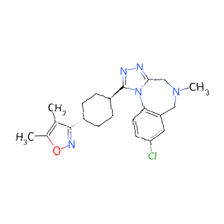 Cc1onc([C@H]2CC[C@H](c3nnc4n3-c3ccc(Cl)cc3CN(C)C4)CC2)c1C